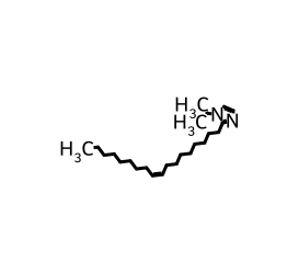 CCCCCCCC/C=C\CCCCCCCCc1nccn1C(C)C